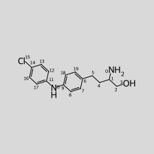 NC(CO)CCc1ccc(Nc2ccc(Cl)cc2)cc1